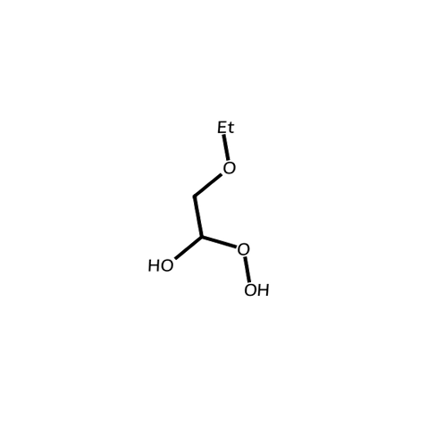 CCOCC(O)OO